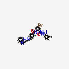 Cc1ccc(/C=N/NC(=O)c2cc(Br)ccc2NC(=O)c2ccc(CNCCCN(C)c3ccccc3)cc2)cc1C